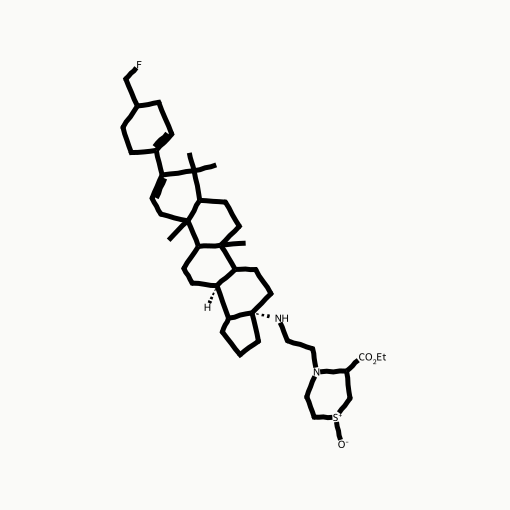 CCOC(=O)C1C[S+]([O-])CCN1CCN[C@]12CCCC1[C@H]1CCC3C(C)(CCC4C(C)(C)C(C5=CCC(CF)CC5)=CCC43C)C1CC2